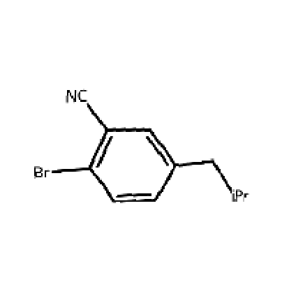 CC(C)Cc1ccc(Br)c(C#N)c1